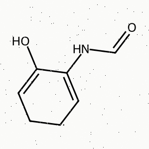 O=CNC1=C[CH]CC=C1O